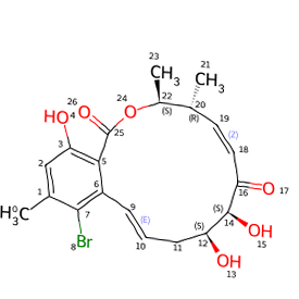 Cc1cc(O)c2c(c1Br)/C=C/C[C@H](O)[C@H](O)C(=O)/C=C\[C@@H](C)[C@H](C)OC2=O